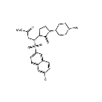 COC(=O)CN(C1CCN(C2CCN(C(C)C)CC2)C1=O)S(=O)(=O)c1ccc2cc(Cl)ccc2c1